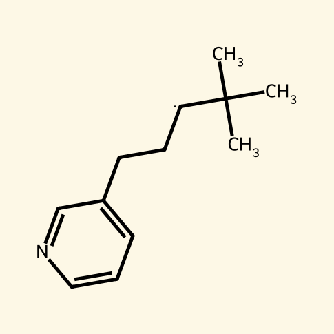 CC(C)(C)[CH]CCc1cccnc1